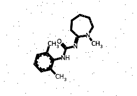 Cc1cccc(C)c1NC(=O)N=C1CCCCCN1C